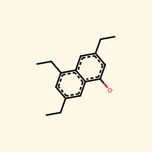 CCc1cc(CC)c2cc(CC)cc([O])c2c1